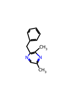 Cc1cnc(Cc2ccccc2)c(C)n1